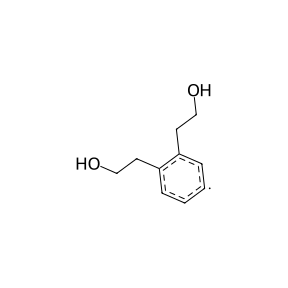 OCCc1c[c]ccc1CCO